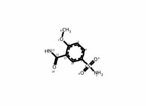 COc1ccc(S(N)(=O)=O)cc1C([NH])=O